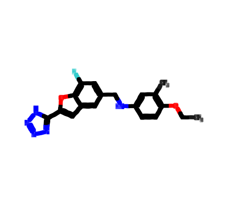 Fc1cc(CNc2ccc(OCC(F)(F)F)c(C(F)(F)F)c2)cc2cc(-c3nnn[nH]3)oc12